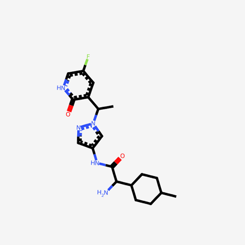 CC1CCC(C(N)C(=O)Nc2cnn(C(C)c3cc(F)c[nH]c3=O)c2)CC1